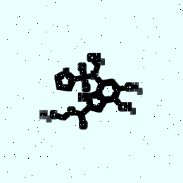 CCOC(=O)c1cc2c(C)c(C)cc(N(CC)S(=O)(=O)c3cccs3)c2[nH]1